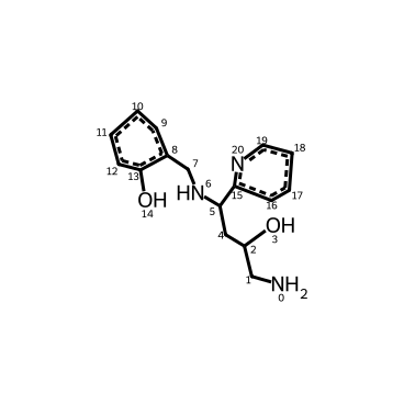 NCC(O)CC(NCc1ccccc1O)c1ccccn1